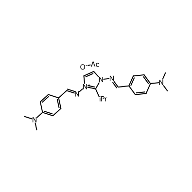 CC(=O)[O-].CC(C)c1n(N=Cc2ccc(N(C)C)cc2)cc[n+]1N=Cc1ccc(N(C)C)cc1